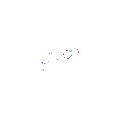 C[C@H](O)CN1CCC2CC(OC[C@H]3CN(C)CN3)C(Cl)CC2C1